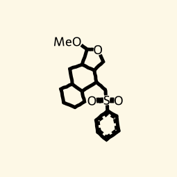 COC1OCC2C1CC1CCCCC1C2CS(=O)(=O)c1ccccc1